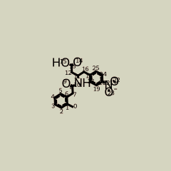 Cc1ccccc1CC(=O)NC(CC(=O)O)Cc1ccc([N+](=O)[O-])cc1